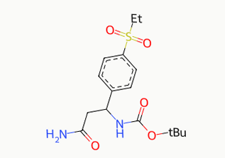 CCS(=O)(=O)c1ccc(C(CC(N)=O)NC(=O)OC(C)(C)C)cc1